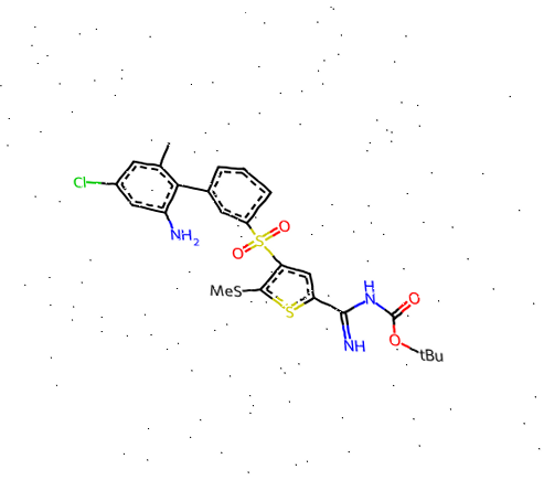 CSc1sc(C(=N)NC(=O)OC(C)(C)C)cc1S(=O)(=O)c1cccc(-c2c(C)cc(Cl)cc2N)c1